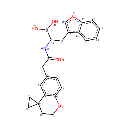 O=C(Cc1ccc2c(c1)C1(CCO2)CC1)NC(Cc1coc2ccccc12)B(O)O